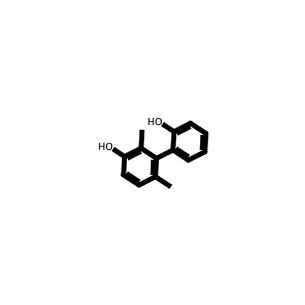 Cc1ccc(O)c(C)c1-c1ccccc1O